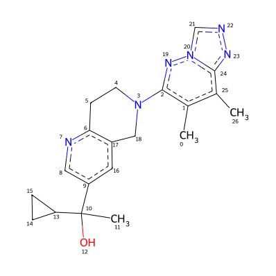 Cc1c(N2CCc3ncc(C(C)(O)C4CC4)cc3C2)nn2cnnc2c1C